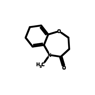 CN1C(=O)CCOC2=CCCC=C21